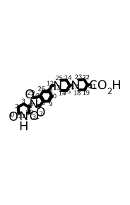 O=C1CCC(N2C(=O)c3ccc(CN4CCC(N5CCC(C(=O)O)CC5)CC4)cc3C2=O)C(=O)N1